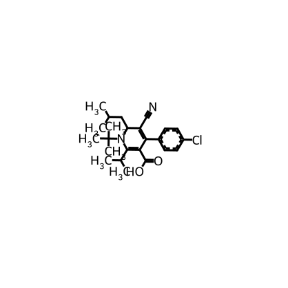 CC(C)CC1C(C#N)=C(c2ccc(Cl)cc2)C(C(=O)O)=C(C(C)C)N1C(C)(C)C